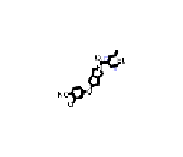 C=C/C=C(\C=C/CC)C(=O)N1CC2CC(Oc3ccc(C#N)c(Cl)c3)CC2C1